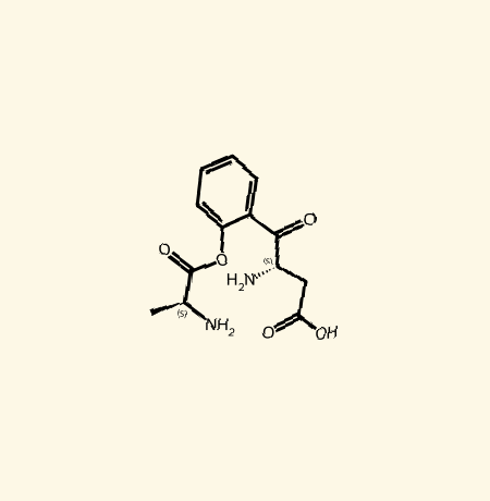 C[C@H](N)C(=O)Oc1ccccc1C(=O)[C@@H](N)CC(=O)O